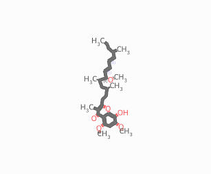 CCCC(C)/C=C/C=C/[C@H](OC)[C@@H](C)C[C@@H](C)CCc1oc2c(O)c(OC)cc(OC)c2c(=O)c1C